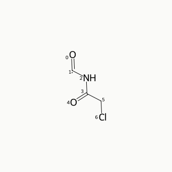 O=[C]NC(=O)CCl